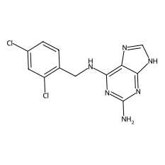 Nc1nc(NCc2ccc(Cl)cc2Cl)c2nc[nH]c2n1